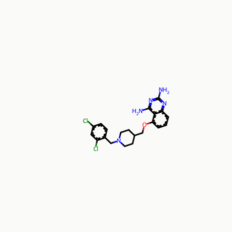 Nc1nc(N)c2c(OCC3CCN(Cc4ccc(Cl)cc4Cl)CC3)cccc2n1